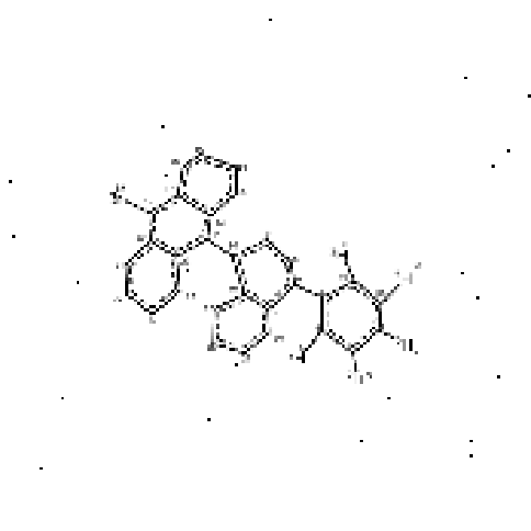 [2H]c1c([2H])c([2H])c(-c2ccc(-c3c4ccccc4c(Br)c4ccccc34)c3ccccc23)c([2H])c1[2H]